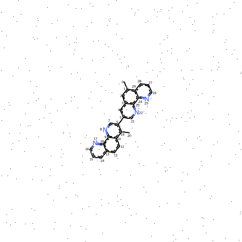 Cc1cc2cc(-c3cnc4c(ccc5cccnc54)c3C)cnc2c2ncccc12